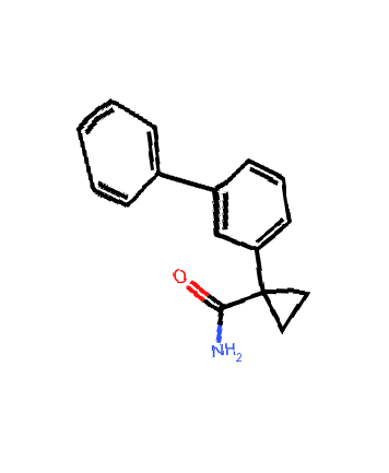 NC(=O)C1(c2cccc(-c3ccccc3)c2)CC1